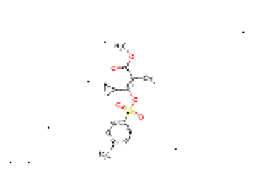 COC(=O)/C(C)=C(/OS(=O)(=O)c1ccc(C)cc1)C1CC1